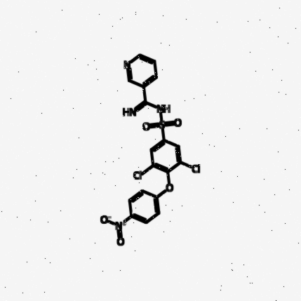 N=C(NS(=O)(=O)c1cc(Cl)c(Oc2ccc([N+](=O)[O-])cc2)c(Cl)c1)c1cccnc1